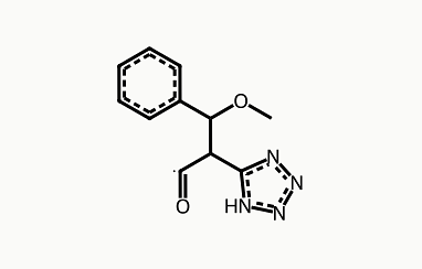 COC(c1ccccc1)C([C]=O)c1nnn[nH]1